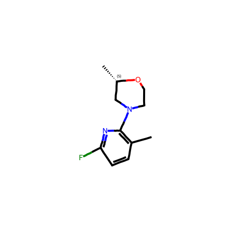 Cc1ccc(F)nc1N1CCO[C@@H](C)C1